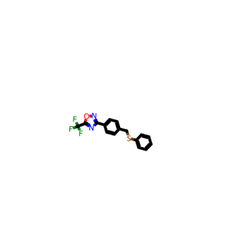 FC(F)(F)c1nc(-c2ccc(CSc3ccccc3)cc2)no1